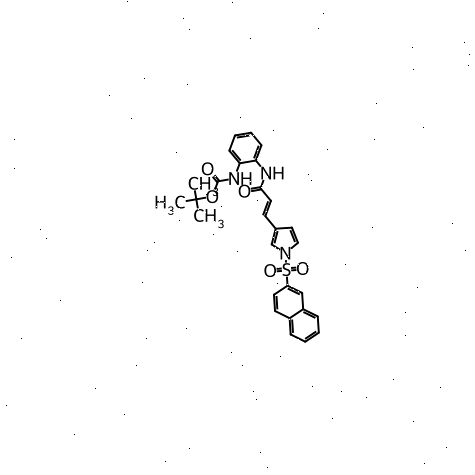 CC(C)(C)OC(=O)Nc1ccccc1NC(=O)C=Cc1ccn(S(=O)(=O)c2ccc3ccccc3c2)c1